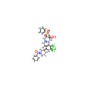 Cl.O=C(c1ccccc1)N1CCC[C@](CCCN2CCC(O)(CS(=O)(=O)c3ccccc3)CC2)(c2ccc(Cl)c(Cl)c2)C1